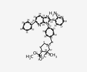 COC(=O)C1CCN(Cc2ccc(-n3c(-c4cccnc4N)nc4ccc(-c5ccccc5)nc43)cc2)CC1(C)C